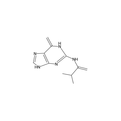 C=C1NC(NC(=C)C(C)C)=Nc2[nH]cnc21